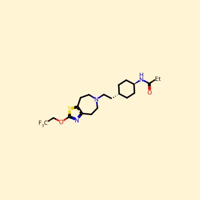 CCC(=O)N[C@H]1CC[C@H](CCN2CCc3nc(OCC(F)(F)F)sc3CC2)CC1